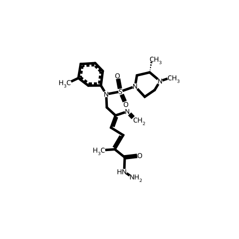 C=N/C(=C\C=C(/C)C(=O)NN)CN(c1cccc(C)c1)S(=O)(=O)N1CCN(C)[C@@H](C)C1